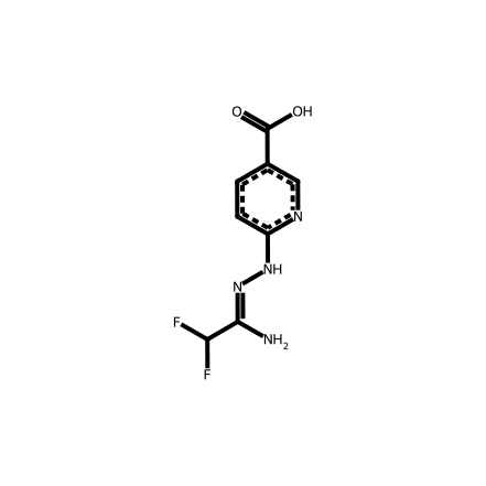 N/C(=N\Nc1ccc(C(=O)O)cn1)C(F)F